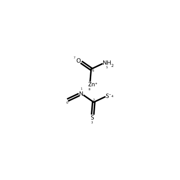 C=NC(=S)[S-].N[C](=O)[Zn+]